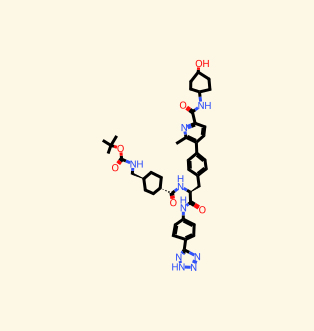 Cc1nc(C(=O)NC2CCC(O)CC2)ccc1-c1ccc(C[C@H](NC(=O)[C@H]2CC[C@H](CNC(=O)OC(C)(C)C)CC2)C(=O)Nc2ccc(-c3nn[nH]n3)cc2)cc1